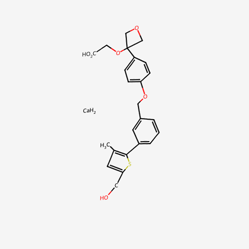 Cc1cc(CO)sc1-c1cccc(COc2ccc(C3(OCC(=O)O)COC3)cc2)c1.[CaH2]